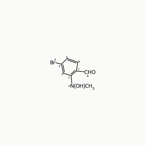 CN(O)c1cc(Br)ccc1C=O